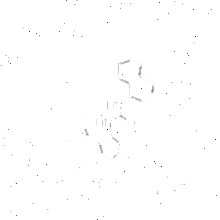 O=C(Nc1ccccc1C(=O)O)Nc1cccc2ccccc12